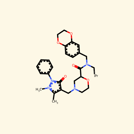 Cc1c(CN2CCOC(C(=O)N(Cc3ccc4c(c3)OCCO4)CC(C)C)C2)c(=O)n(-c2ccccc2)n1C